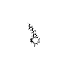 CC1(C)CNCNCOCc2ccc(NC(=O)c3ccc(OCF)cn3)cc2CS1(=O)=O